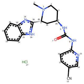 CN1CC[C@@H](NC(=O)Nc2ccc(C#N)cn2)C[C@@H]1c1nc2ccccc2[nH]1.Cl